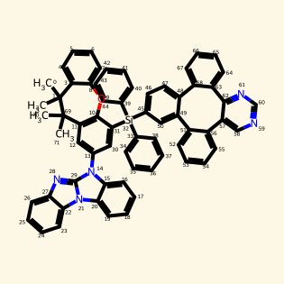 CC1(C)c2ccccc2Oc2c(cc(-n3c4ccccc4n4c5ccccc5nc34)cc2[Si](c2ccccc2)(c2ccccc2)c2ccc3c(c2)-c2ccccc2-c2cncnc2-c2ccccc2-3)C1(C)C